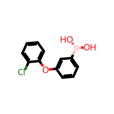 OB(O)c1cccc(Oc2ccccc2Cl)c1